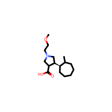 COCCN1CC(C(=O)O)C([C@@H]2CCCCCC2C)C1